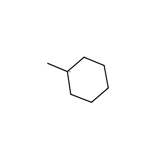 C[C]1CCCCC1